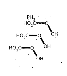 O=C(O)OO.O=C(O)OO.O=C(O)OO.P